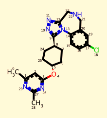 Cc1cc(O[C@H]2CC[C@H](c3nnc4n3-c3ccc(Cl)cc3CNC4)CC2)nc(C)n1